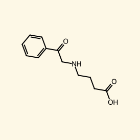 O=C(O)CCCNCC(=O)c1ccccc1